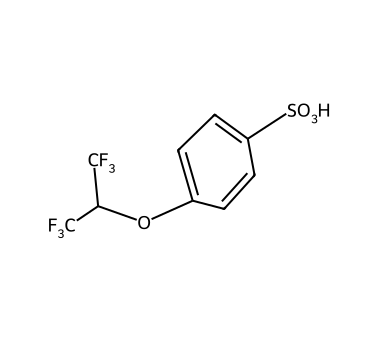 O=S(=O)(O)c1ccc(OC(C(F)(F)F)C(F)(F)F)cc1